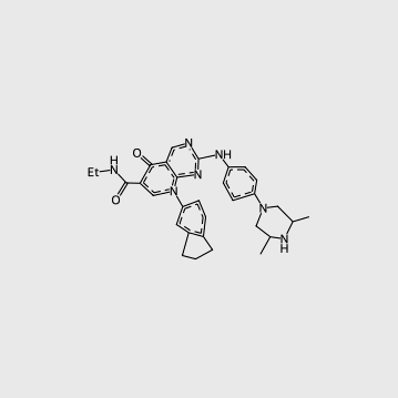 CCNC(=O)c1cn(-c2ccc3c(c2)CCC3)c2nc(Nc3ccc(N4CC(C)NC(C)C4)cc3)ncc2c1=O